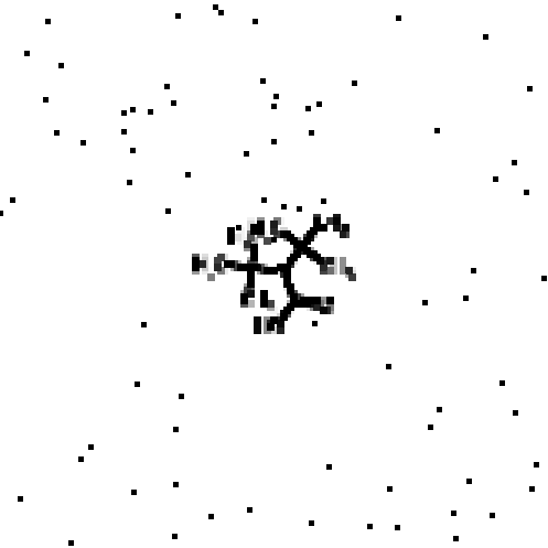 CC(C)(C)N(C(=O)O)C(C)(C)C